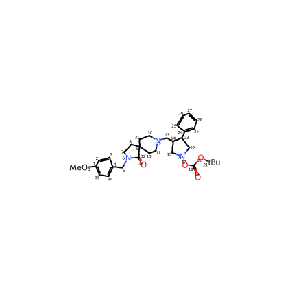 COc1ccc(CN2CCC3(CCN(CC4CN(OC(=O)OC(C)(C)C)CC4c4ccccc4)CC3)C2=O)cc1